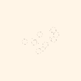 c1ccc(-c2cc(-c3cccc4sc5cc(-c6ccc7ccc8cccnc8c7n6)ccc5c34)nc(-c3ccccc3)n2)cc1